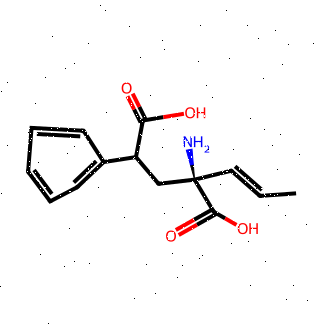 CC=C[C@@](N)(CC(C(=O)O)c1ccccc1)C(=O)O